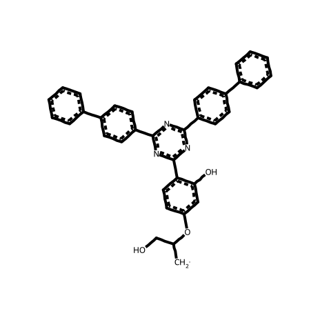 [CH2]C(CO)Oc1ccc(-c2nc(-c3ccc(-c4ccccc4)cc3)nc(-c3ccc(-c4ccccc4)cc3)n2)c(O)c1